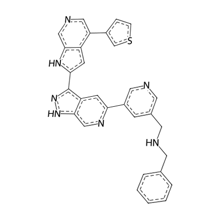 c1ccc(CNCc2cncc(-c3cc4c(-c5cc6c(-c7ccsc7)cncc6[nH]5)n[nH]c4cn3)c2)cc1